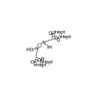 CCCCCCCC(=O)OCC(CCCCN(CCC(C)C)CC1CCC(N(CCO)CCCCC(COC(=O)CCCCCCC)COC(=O)CCCCCCC)CC1)COC(=O)CCCCCCC